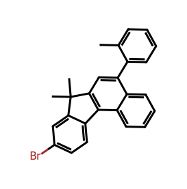 Cc1ccccc1-c1cc2c(c3ccccc13)-c1ccc(Br)cc1C2(C)C